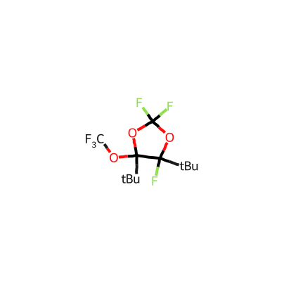 CC(C)(C)C1(F)OC(F)(F)OC1(OC(F)(F)F)C(C)(C)C